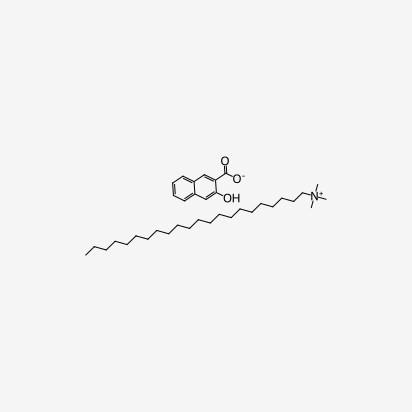 CCCCCCCCCCCCCCCCCCCCCC[N+](C)(C)C.O=C([O-])c1cc2ccccc2cc1O